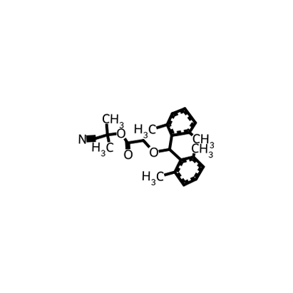 Cc1cccc(C)c1C(OCC(=O)OC(C)(C)C#N)c1c(C)cccc1C